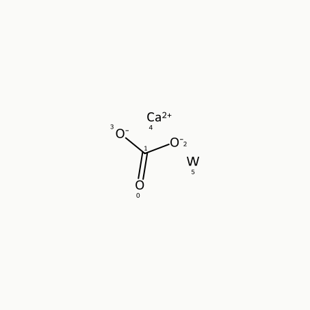 O=C([O-])[O-].[Ca+2].[W]